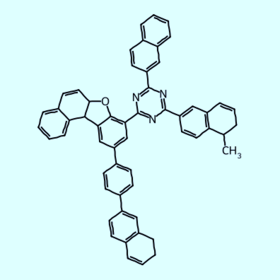 CC1CC=Cc2cc(-c3nc(-c4ccc5ccccc5c4)nc(-c4cc(-c5ccc(-c6ccc7c(c6)CCC=C7)cc5)cc5c4OC4C=Cc6ccccc6C54)n3)ccc21